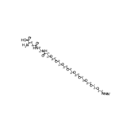 [N-]=[N+]=NCCOCCOCCOCCOCCOCCOCCOCCOCCOCCC(=O)NCCNC(=O)CC[C@H](N)C(=O)O